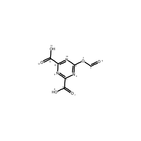 O=COc1nc(C(=O)O)nc(C(=O)O)n1